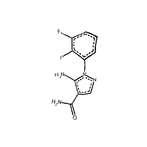 NC(=O)c1cnn(-c2cccc(F)c2F)c1N